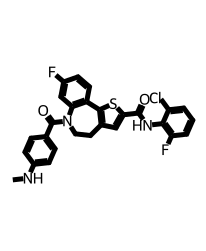 CNc1ccc(C(=O)N2CCc3cc(C(=O)Nc4c(F)cccc4Cl)sc3-c3ccc(F)cc32)cc1